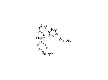 CCCCCCCCCCCCc1cnc(-c2ccccc2OC(=O)C2CCC(CCCCCCC)CC2)nc1